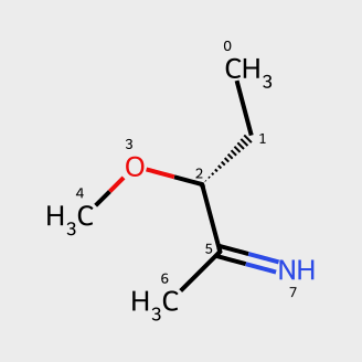 CC[C@@H](OC)C(C)=N